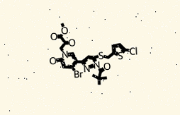 COC(=O)C(=O)Cn1cc(-c2cc(SCc3ccc(Cl)s3)n(C(=O)C(C)(C)C)n2)c(Br)cc1=O